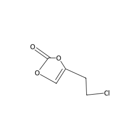 O=c1occ(CCCl)o1